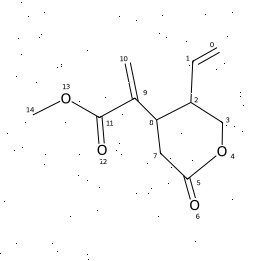 C=CC1COC(=O)CC1C(=C)C(=O)OC